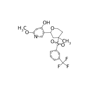 COc1cc(O)c(C2CC(C)(S(=O)(=O)c3cccc(C(F)(F)F)c3)CCO2)cn1